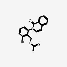 CC(=O)OCc1c(Br)cccc1-n1ccc2ccccc2c1=O